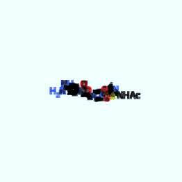 CC(=O)Nc1nc(C)c(S(=O)(=O)N2CCN(CC3CN(c4ccc(C(=N)N)cc4)C(=O)O3)CC2)s1